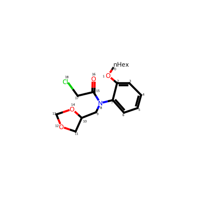 CCCCCCOc1ccccc1N(CC1COCO1)C(=O)CCl